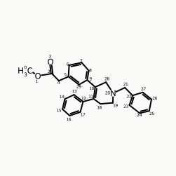 COC(=O)Cc1cccc(C2=C(c3ccccc3)CCN(Cc3ccccc3)C2)c1